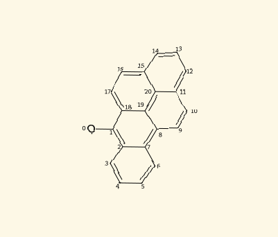 [O]c1c2ccccc2c2ccc3cccc4ccc1c2c43